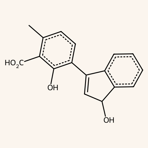 Cc1ccc(C2=CC(O)c3ccccc32)c(O)c1C(=O)O